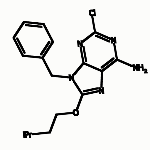 CC(C)CCOc1nc2c(N)nc(Cl)nc2n1Cc1ccccc1